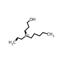 C=CC[N+](=CCCO)CCCCC